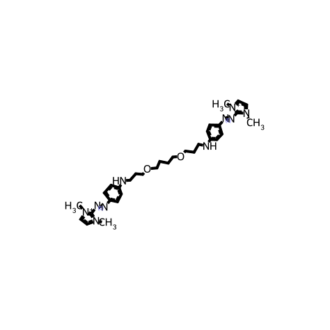 Cn1cc[n+](C)c1/N=N/c1ccc(NCCCOCCCCOCCCNc2ccc(/N=N/c3n(C)cc[n+]3C)cc2)cc1